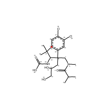 CC(C)C(=O)N(C)CC(CC(O)CO)(c1ccc(Cl)c(Cl)c1)C(NC(=O)O)C(C)(C)C